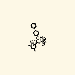 Cc1cc(C)[n+]([O-])c(C(CNS(C)(=O)=O)CO[C@H]2CC[C@@H](c3ccccc3)CC2)c1